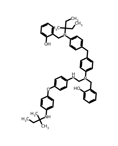 CCC(C)(C)Nc1ccc(Oc2ccc(NCN(Cc3ccccc3O)c3ccc(Cc4ccc(N(Cc5ccccc5O)C(C)(CC)CC)cc4)cc3)cc2)cc1